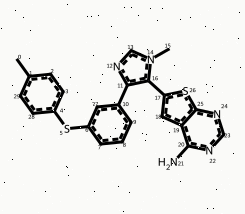 Cc1ccc(Sc2cccc(-c3ncn(C)c3-c3cc4c(N)ncnc4s3)c2)cc1